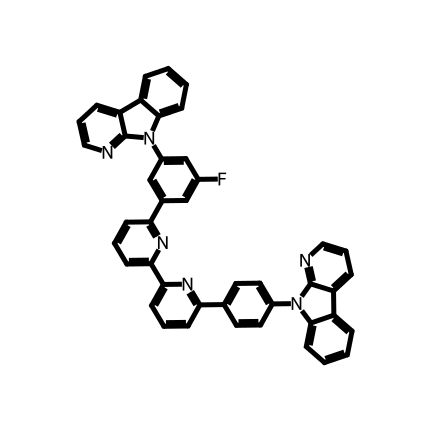 Fc1cc(-c2cccc(-c3cccc(-c4ccc(-n5c6ccccc6c6cccnc65)cc4)n3)n2)cc(-n2c3ccccc3c3cccnc32)c1